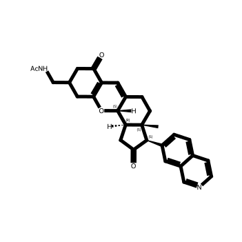 CC(=O)NCC1CC(=O)C2=C(C1)O[C@@H]1C(=C2)CC[C@]2(C)[C@@H](c3ccc4ccncc4c3)C(=O)C[C@@H]12